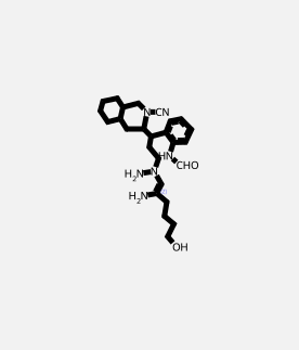 N#CN1CC2CCCCC2CC1C(CCN(N)/C=C(\N)CCCCO)c1ccccc1NC=O